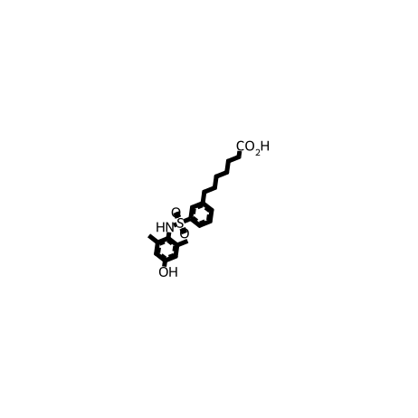 Cc1cc(O)cc(C)c1NS(=O)(=O)c1cccc(CCCCCCC(=O)O)c1